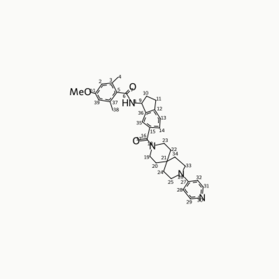 COc1cc(C)c(C(=O)NC2CCc3ccc(C(=O)N4CCC5(CC4)CCN(c4ccncc4)CC5)cc32)c(C)c1